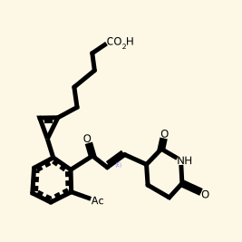 CC(=O)c1cccc(C2C=C2CCCCC(=O)O)c1C(=O)/C=C/C1CCC(=O)NC1=O